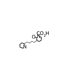 O=C(O)n1cccc(CCCCc2ccccn2)c1=O